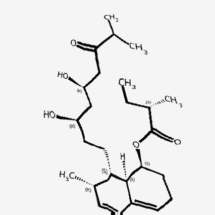 CC[C@H](C)C(=O)O[C@H]1CCC=C2C=C[C@H](C)[C@H](CC[C@@H](O)C[C@@H](O)CC(=O)C(C)C)[C@H]21